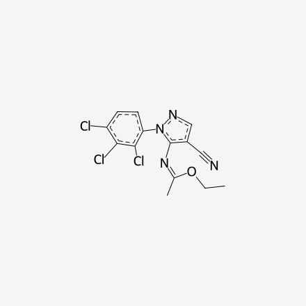 CCOC(C)=Nc1c(C#N)cnn1-c1ccc(Cl)c(Cl)c1Cl